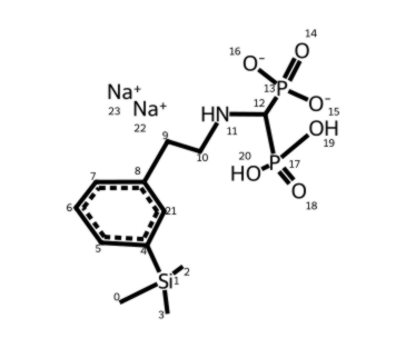 C[Si](C)(C)c1cccc(CCNC(P(=O)([O-])[O-])P(=O)(O)O)c1.[Na+].[Na+]